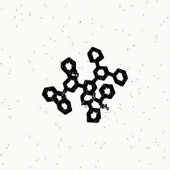 NC(N/C(=N\Cc1ccc(C2=CC(C3C=CC=CC3)=CC(C3=CCCC=C3)C2)cc1C1=CC(n2c3ccccc3c3ccccc32)Cc2c1oc1ccccc21)c1ccccc1)c1ccccc1